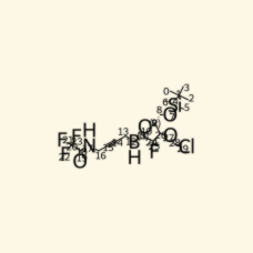 CC(C)(C)[Si](C)(C)OC[C@H]1O[C@@H](BCC#CCNC(=O)C(F)(F)F)C(F)C1OCCl